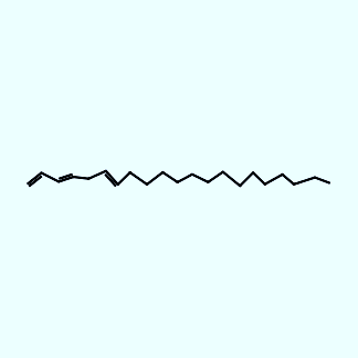 C=CC=CCC=CCCCCCCCCCCCCCC